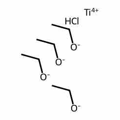 CC[O-].CC[O-].CC[O-].CC[O-].Cl.[Ti+4]